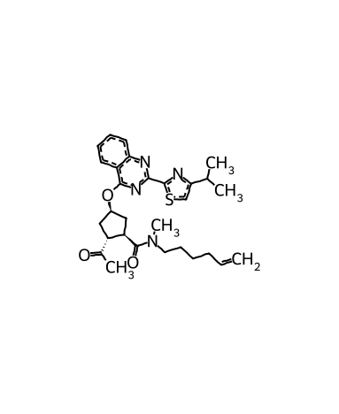 C=CCCCCN(C)C(=O)[C@@H]1C[C@H](Oc2nc(-c3nc(C(C)C)cs3)nc3ccccc23)C[C@H]1C(C)=O